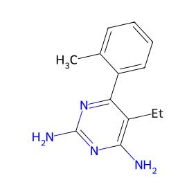 CCc1c(N)nc(N)nc1-c1ccccc1C